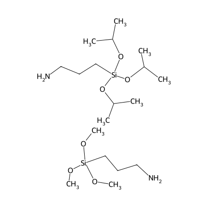 CC(C)O[Si](CCCN)(OC(C)C)OC(C)C.CO[Si](CCCN)(OC)OC